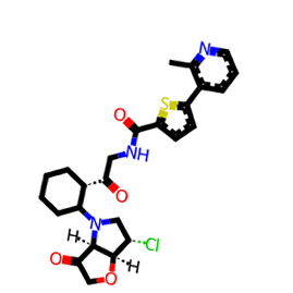 Cc1ncccc1-c1ccc(C(=O)NCC(=O)[C@H]2CCCCC2N2C[C@H](Cl)[C@H]3OCC(=O)[C@H]32)s1